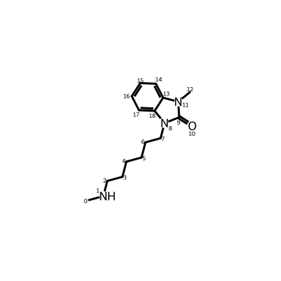 CNCCCCCCn1c(=O)n(C)c2ccccc21